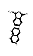 O=C1OC([N+](=O)[O-])c2ccccc21.c1ccc2cnccc2c1